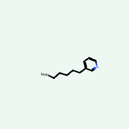 CNCCCCCc1cccnc1